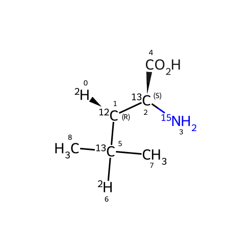 [2H][12C@@H]([13C@H]([15NH2])[13C](=O)O)[13C]([2H])(C)C